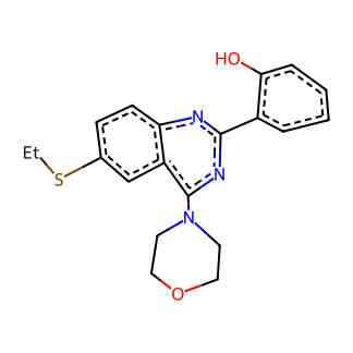 CCSc1ccc2nc(-c3ccccc3O)nc(N3CCOCC3)c2c1